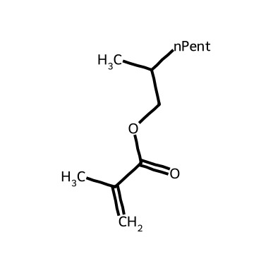 C=C(C)C(=O)OCC(C)CCCCC